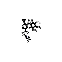 Bc1c(B)c(B)c(Oc2nc(C3CC3)ncc2C(=O)N[C@@H](C)/C=C/S(C)(=O)=O)c(B)c1B